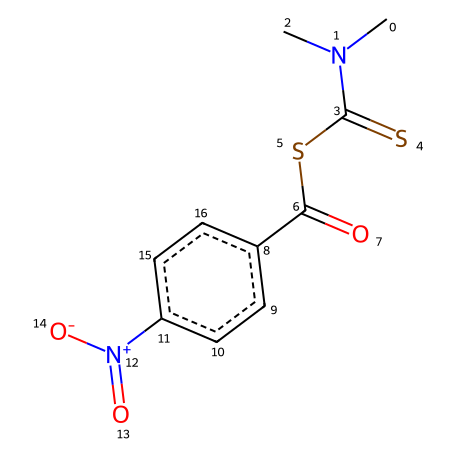 CN(C)C(=S)SC(=O)c1ccc([N+](=O)[O-])cc1